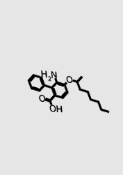 CCCCCCC(C)Oc1ccc(C(=O)O)c(-c2ccccc2)c1N